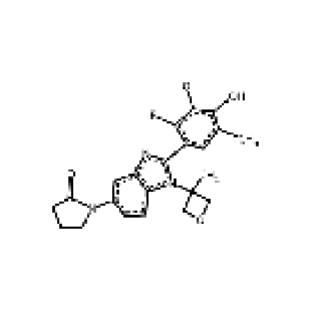 Cc1cc(-c2nc3cc(N4CCCC4=O)ccc3n2C2(C)COC2)c(F)c(O)c1O